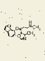 CNCC[C@H](Oc1cccc2ccoc12)[C@@H]1OC=NC1C